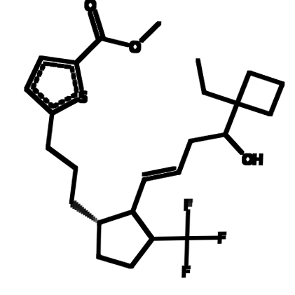 CCC1(C(O)C/C=C/C2C(C(F)(F)F)CC[C@@H]2CCCc2ccc(C(=O)OC)s2)CCC1